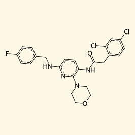 O=C(Cc1ccc(Cl)cc1Cl)Nc1ccc(NCc2ccc(F)cc2)nc1N1CCOCC1